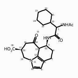 CC(=O)NC(C(=O)N[C@H]1CCc2ccn3c2C1C(=O)C[C@H](C(=O)O)C3)C1CCCCC1